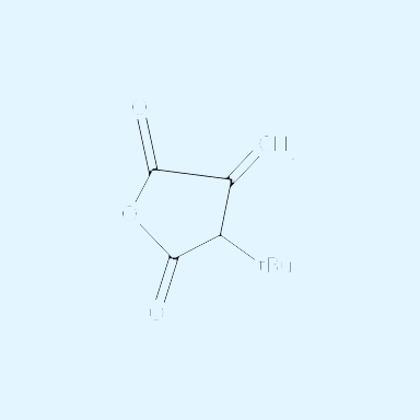 C=C1C(=O)OC(=O)C1C(C)(C)C